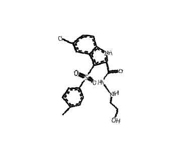 Cc1ccc(S(=O)(=O)c2c(C(=O)NNCCO)[nH]c3ccc(Cl)cc23)cc1